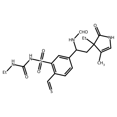 CCNC(=O)NS(=O)(=O)c1cc(C(CC2(CC)C(=O)NC=C2C)NC=O)ccc1C=S